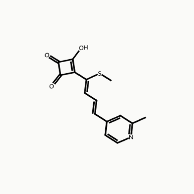 CS/C(=C\C=C\c1ccnc(C)c1)c1c(O)c(=O)c1=O